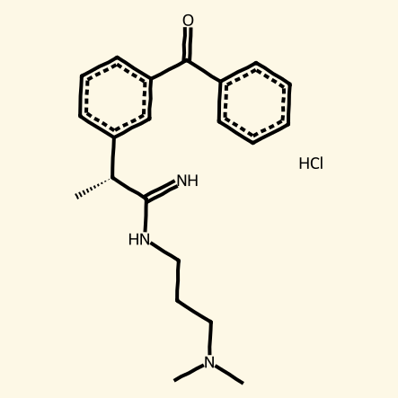 C[C@@H](C(=N)NCCCN(C)C)c1cccc(C(=O)c2ccccc2)c1.Cl